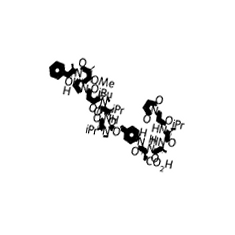 CC[C@H](C)[C@@H]([C@@H](CC(=O)N1CCC[C@H]1[C@H](OC)[C@@H](C)C(=O)N[C@H](C)[C@@H](O)c1ccccc1)OC)N(C)C(=O)[C@@H](NC(=O)[C@H](C(C)C)N(C)C(=O)OCc1ccc(NC(=O)[C@H](CC(=O)O)NC(=O)[C@H](C)NC(=O)[C@@H](CC(C)C)NC(=O)CCN2C(=O)C=CC2=O)cc1)C(C)C